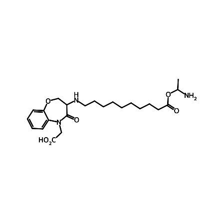 CC(N)OC(=O)CCCCCCCCCNC1COc2ccccc2N(CC(=O)O)C1=O